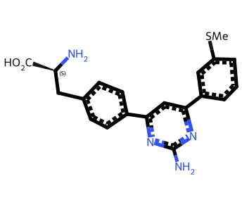 CSc1cccc(-c2cc(-c3ccc(C[C@H](N)C(=O)O)cc3)nc(N)n2)c1